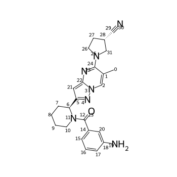 Cc1cn2nc([C@@H]3CCCCN3C(=O)c3cccc(N)c3)cc2nc1N1CC[C@H](C#N)C1